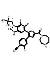 CC(C)(O)CN1NNc2cc(-c3sc(C(=O)N4CCCNCC4)cc3-c3ccc(C#N)c(F)c3)c(F)c(F)c21